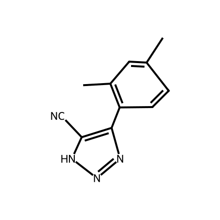 Cc1ccc(-c2nn[nH]c2C#N)c(C)c1